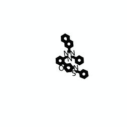 c1ccc(-c2nc(-c3ccc4ccccc4c3)nc(-c3cccc4oc5cc6sc(-c7ccccc7)nc6cc5c34)n2)cc1